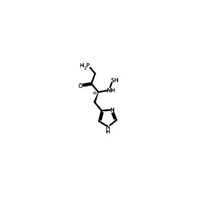 O=C(CP)[C@H](Cc1c[nH]cn1)NS